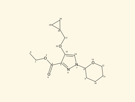 CCOC(=O)c1nn(C2CCCCO2)cc1OCC1CC1